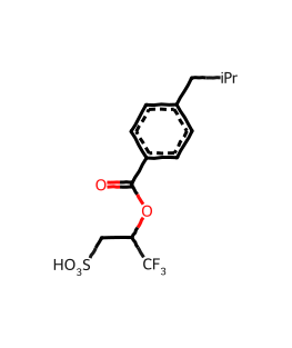 CC(C)Cc1ccc(C(=O)OC(CS(=O)(=O)O)C(F)(F)F)cc1